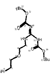 CC(C)CCOCCN/C(=N\C(=O)OC(C)(C)C)NC(=O)OC(C)(C)C